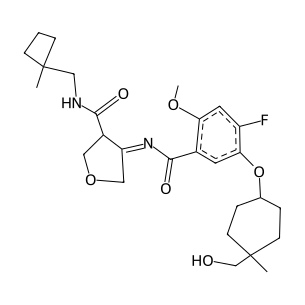 COc1cc(F)c(OC2CCC(C)(CO)CC2)cc1C(=O)/N=C1\COCC1C(=O)NCC1(C)CCC1